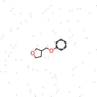 [c]1ccccc1OCC1CCOC1